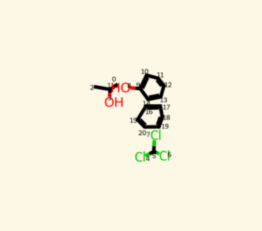 CC(C)O.ClC(Cl)Cl.Oc1ccccc1.c1ccccc1